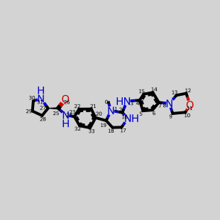 CN1C(Nc2ccc(N3CCOCC3)cc2)NCCC1c1ccc(NC(=O)[C@H]2CCCN2)cc1